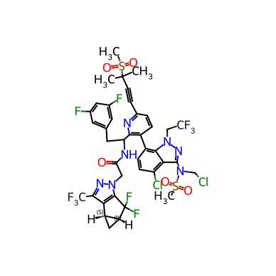 CC(C)(C#Cc1ccc(-c2ccc(Cl)c3c(N(CCl)S(C)(=O)=O)nn(CC(F)(F)F)c23)c(C(Cc2cc(F)cc(F)c2)NC(=O)Cn2nc(C(F)(F)F)c3c2C(F)(F)[C@@H]2C[C@H]32)n1)S(C)(=O)=O